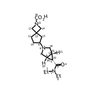 CCN(CC)C(=O)[C@@H]1[C@@H]2CN(C3CCC4(C3)CN(C(=O)O)C4)C[C@@H]21